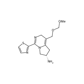 COCOCC1=C2C[C@H](N)CN2C(c2nccs2)=NC1